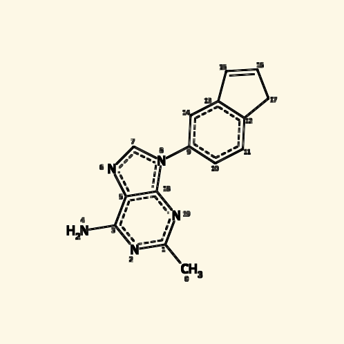 Cc1nc(N)c2ncn(-c3ccc4c(c3)C=CC4)c2n1